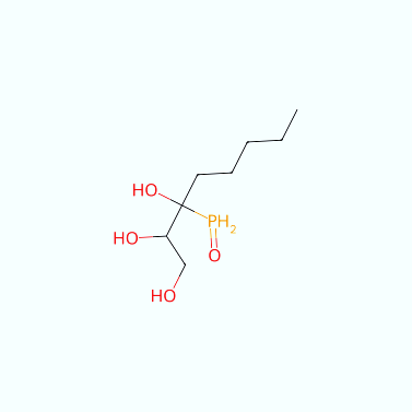 CCCCCC(O)([PH2]=O)C(O)CO